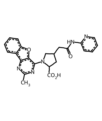 Cc1nc(N2CC(CC(=O)Nc3ccccn3)CC2C(=O)O)c2oc3ccccc3c2n1